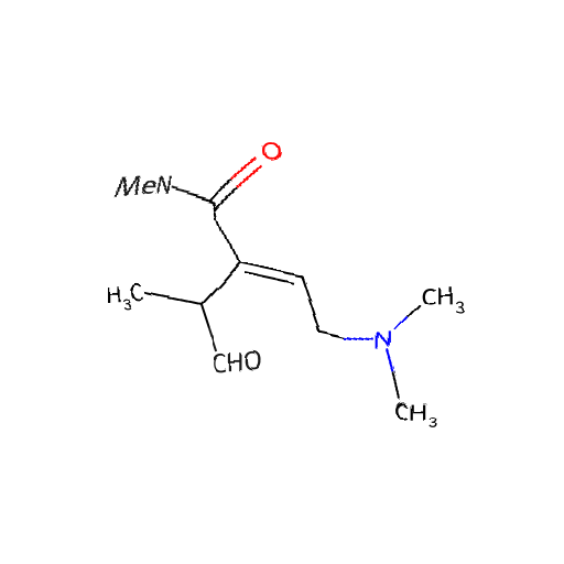 CNC(=O)C(=CCN(C)C)C(C)C=O